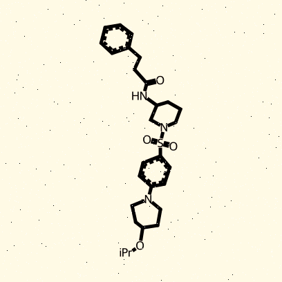 CC(C)OC1CCN(c2ccc(S(=O)(=O)N3CCCC(NC(=O)CCc4ccccc4)C3)cc2)CC1